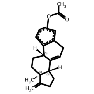 C=C1CC[C@H]2C3=CCc4cc(OC(C)=O)ccc4[C@H]3CC[C@]12C